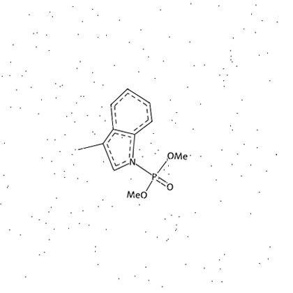 [CH2]c1cn(P(=O)(OC)OC)c2ccccc12